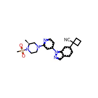 C[C@H]1CN(c2cc(-n3ncc4ccc(C5(C#N)CCC5)cc43)ccn2)CCN1S(C)(=O)=O